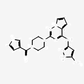 Cc1cc(Nc2nc(N3CCN(C(=O)c4ccoc4)CC3)nn3cccc23)n[nH]1